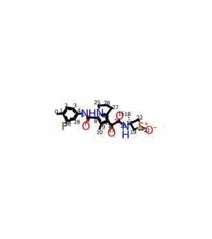 Cc1ccc(NC(=O)c2c(C)c(C(=O)C(=O)N[C@]3(C)C[S@+]([O-])C3)c3n2CCC3)cc1F